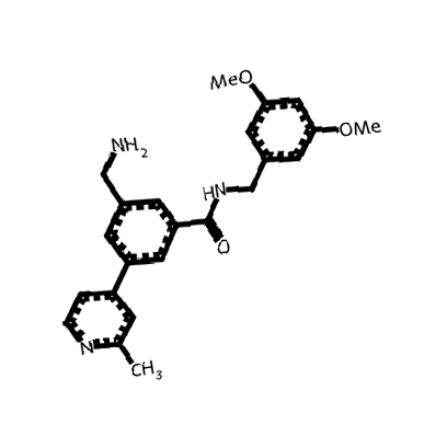 COc1cc(CNC(=O)c2cc(CN)cc(-c3ccnc(C)c3)c2)cc(OC)c1